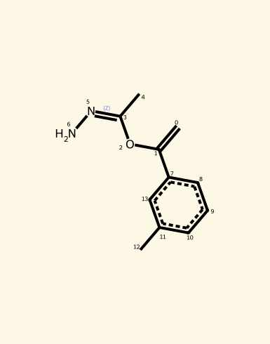 C=C(O/C(C)=N\N)c1cccc(C)c1